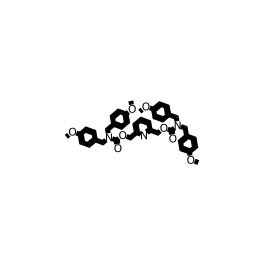 COc1ccc(CN(Cc2ccc(OC)cc2)C(=O)OCc2cccc(COC(=O)N(Cc3ccc(OC)cc3)Cc3ccc(OC)cc3)n2)cc1